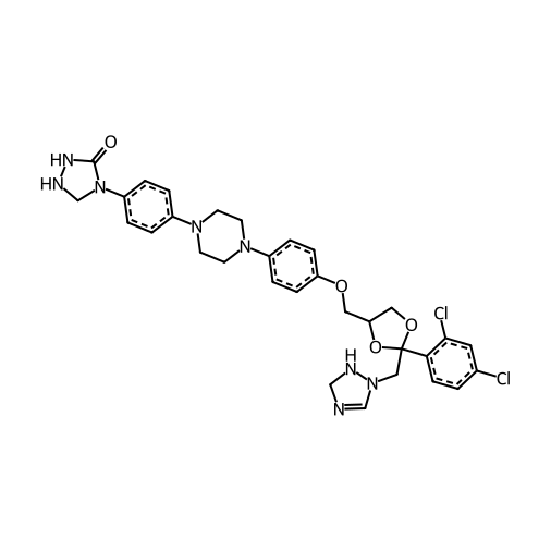 O=C1NNCN1c1ccc(N2CCN(c3ccc(OCC4COC(CN5C=NCN5)(c5ccc(Cl)cc5Cl)O4)cc3)CC2)cc1